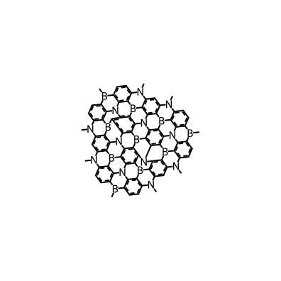 CB1c2ccc3c4c2N2c5c1ccc1c5B5c6c(cc7c8c6N6c9c5c2c2c5c9B9c%10c%11c%12c%13c%14c%10N%10c%15c%16c(cc%17c%15B%15c%18c(ccc%19c%18N%18c%20c(ccc(c%20B8c8c%18c%15c%10c9c86)N7C)B%19C)N%17C)N(C)c6ccc7c(c6B%16%14)N%13c6c(ccc8c6B%12c6c(cc(c(c6N5%11)B42)N3C)N8C)B7C)N1C